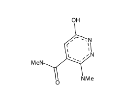 CNC(=O)c1cc(O)nnc1NC